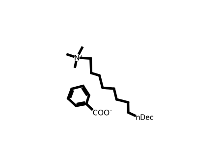 CCCCCCCCCCCCCCCCCC[N+](C)(C)C.O=C([O-])c1ccccc1